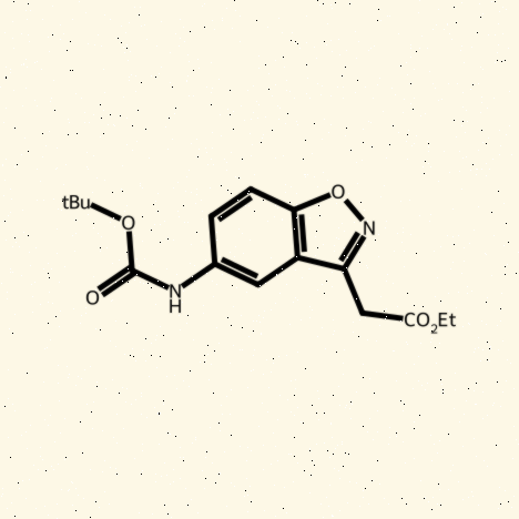 CCOC(=O)Cc1noc2ccc(NC(=O)OC(C)(C)C)cc12